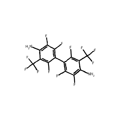 Nc1c(F)c(F)c(-c2c(F)c(F)c(N)c(C(F)(F)F)c2F)c(F)c1C(F)(F)F